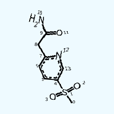 CS(=O)(=O)c1ccc(CC(N)=O)nc1